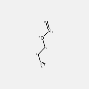 [CH]=NOCCC(C)C